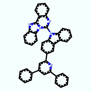 c1ccc(-c2cc(-c3ccccc3)nc(-c3ccc4c(c3)c3ccccc3n4-c3nc4ccccc4c4nc5ccccc5n34)c2)cc1